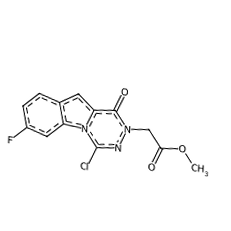 COC(=O)Cn1nc(Cl)n2c(cc3ccc(F)cc32)c1=O